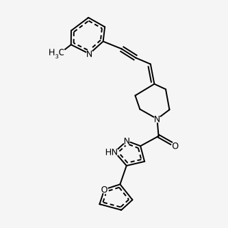 Cc1cccc(C#CC=C2CCN(C(=O)c3cc(-c4ccco4)[nH]n3)CC2)n1